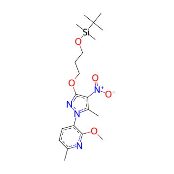 COc1nc(C)ccc1-n1nc(OCCCO[Si](C)(C)C(C)(C)C)c([N+](=O)[O-])c1C